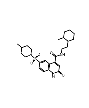 CC1CCN(S(=O)(=O)c2ccc3[nH]c(=O)cc(C(=O)NCCN4CCCCC4C)c3c2)CC1